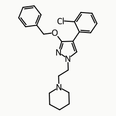 Clc1ccccc1-c1cn(CCN2CCCCC2)nc1OCc1ccccc1